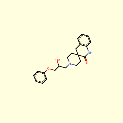 O=C1Nc2ccccc2CC12CCN(CC(O)COc1ccccc1)CC2